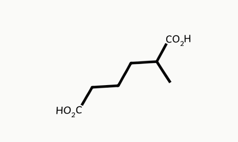 CC(CCCC(=O)O)C(=O)O